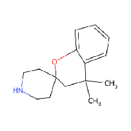 CC1(C)CC2(CCNCC2)Oc2ccccc21